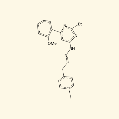 CCc1nc(NN=CCc2ccc(C)cc2)cc(-c2ccccc2OC)n1